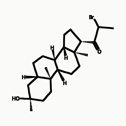 CC(Br)C(=O)[C@H]1CC[C@H]2[C@@H]3CC[C@H]4C[C@](C)(O)CC[C@]4(C)[C@H]3CC[C@]12C